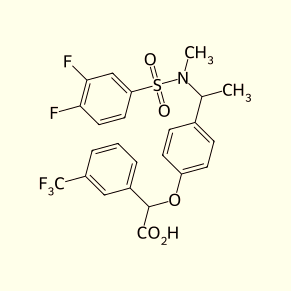 CC(c1ccc(OC(C(=O)O)c2cccc(C(F)(F)F)c2)cc1)N(C)S(=O)(=O)c1ccc(F)c(F)c1